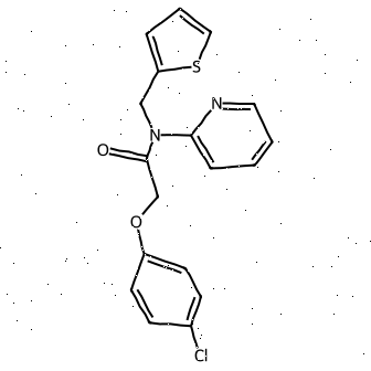 O=C(COc1ccc(Cl)cc1)N(Cc1cccs1)c1ccccn1